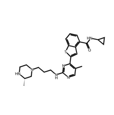 Cc1cnc(NCCCN2CCN[C@@H](C)C2)nc1-c1cc2c(C(=O)NC3CC3)cccc2s1